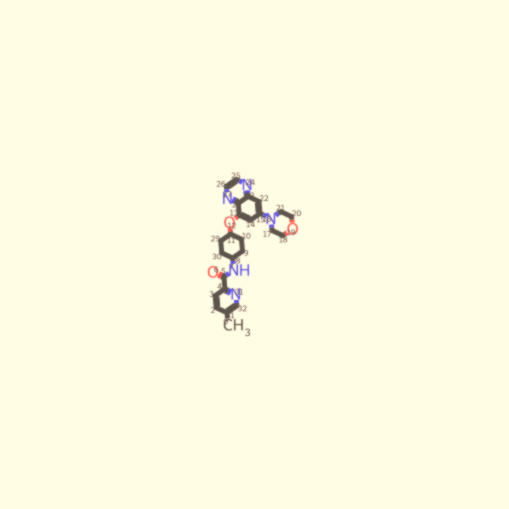 Cc1ccc(C(=O)NC2CCC(Oc3cc(N4CCOCC4)cc4nccnc34)CC2)nc1